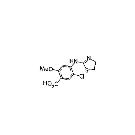 COc1cc(NC2=NCCS2)c(Cl)cc1C(=O)O